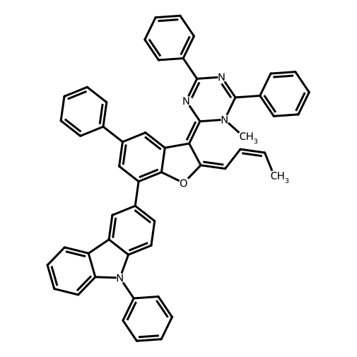 C\C=C/C=c1/oc2c(-c3ccc4c(c3)c3ccccc3n4-c3ccccc3)cc(-c3ccccc3)cc2/c1=C1\N=C(c2ccccc2)N=C(c2ccccc2)N1C